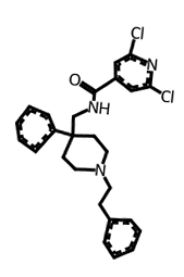 O=C(NCC1(c2ccccc2)CCN(CCc2ccccc2)CC1)c1cc(Cl)nc(Cl)c1